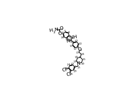 NC(=O)Oc1ccc2[nH]c(-c3ccc(OCCC4CCN(Cc5ccc(Cl)c(Cl)c5)CC4)cc3)nc2c1